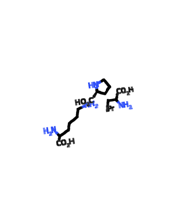 CC(C)CC(N)C(=O)O.NCCCCC(N)C(=O)O.O=C(O)[C@@H]1CCCN1